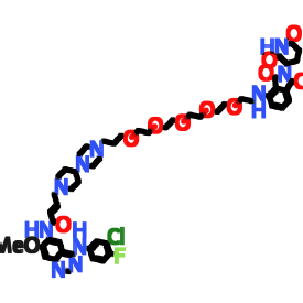 COc1cc2ncnc(Nc3ccc(F)c(Cl)c3)c2cc1NC(=O)/C=C/CN1CCC(N2CCN(CCCOCCOCCOCCOCCOCCNc3cccc4c3C(=O)N(C3CCC(=O)NC3=O)C4=O)CC2)CC1